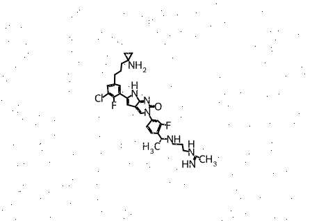 CC(=N)NCCCN[C@@H](C)c1ccc(-n2cc3cc(-c4cc(CCCC5(N)CC5)cc(Cl)c4F)[nH]c3nc2=O)cc1F